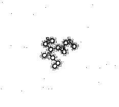 c1ccc(N(c2ccc(-c3cccc4ccccc34)cc2)c2cc(-c3ccc4c(c3)c3ccccc3n4-c3ccc4ccn(-c5ccccc5)c4c3)cc(-c3cccc4sc5ccccc5c34)c2)cc1